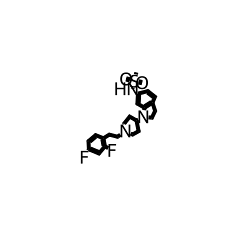 CS(=O)(=O)Nc1ccc2c(c1)N(C1CCN(CCc3ccc(F)cc3F)CC1)CC2